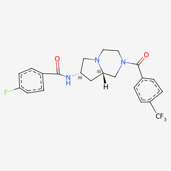 O=C(N[C@H]1C[C@H]2CN(C(=O)c3ccc(C(F)(F)F)cc3)CCN2C1)c1ccc(F)cc1